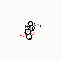 C[C@@]12CCC[C@H]1[C@@H]1CCC3(O)CC=CCC3(O)[C@H]1CC2